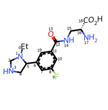 CCN1CNCC1c1cc(F)cc(C(=O)NC[C@@H](N)C(=O)O)c1